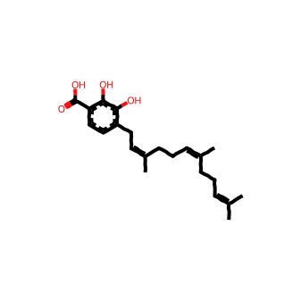 CC(C)=CCCC(C)=CCCC(C)=CCc1ccc(C(=O)O)c(O)c1O